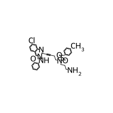 Cc1ccc(S(=O)(=O)N(CCC#Cc2nc3cc(Cl)ccc3c(=O)n2Nc2ccccc2)CCCN)cc1